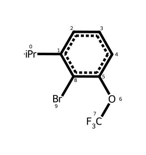 C[C](C)c1cccc(OC(F)(F)F)c1Br